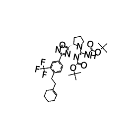 CC(C)(C)OC(=O)/N=C(\NC(=O)OC(C)(C)C)N1CCC[C@H]1c1nc(-c2ccc(CCC3=CCCCC3)c(C(F)(F)F)c2)no1